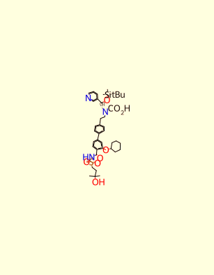 CC(C)(O)CCS(=O)(=O)NC(=O)c1ccc(-c2ccc(CCN(C[C@@H](O[Si](C)(C)C(C)(C)C)c3cccnc3)C(=O)O)cc2)cc1OC1CCCCC1